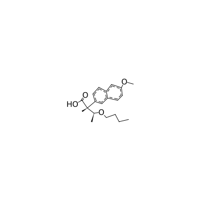 CCCCO[C@@H](C)[C@](C)(C(=O)O)c1ccc2cc(OC)ccc2c1